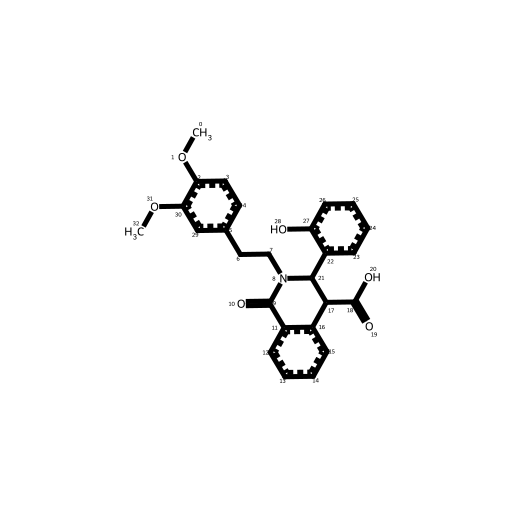 COc1ccc(CCN2C(=O)c3ccccc3C(C(=O)O)C2c2ccccc2O)cc1OC